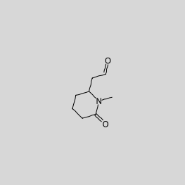 CN1C(=O)CCCC1CC=O